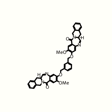 COc1cc2c(cc1OCc1cccc(COc3cc4c(cc3OC)C(=O)N3Cc5ccccc5C[C@H]3C=N4)c1)N=C[C@@H]1Cc3ccccc3CN1C2=O